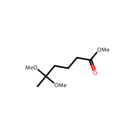 COC(=O)CCCC(C)(OC)OC